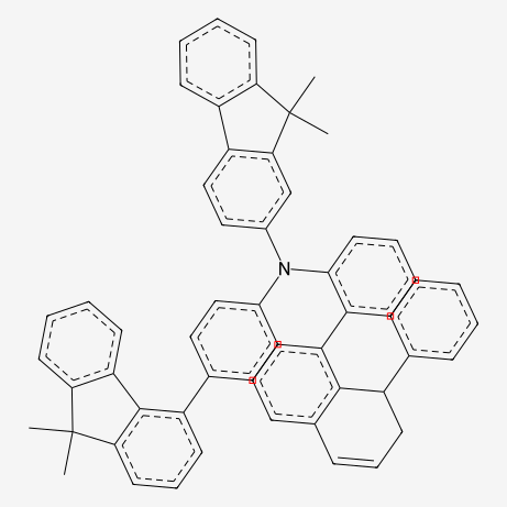 CC1(C)c2ccccc2-c2ccc(N(c3ccc(-c4cccc5c4-c4ccccc4C5(C)C)cc3)c3ccccc3-c3cccc4c3C(c3ccccc3)CC=C4)cc21